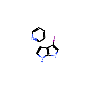 Ic1c[nH]c2[nH]ccc12.c1ccncc1